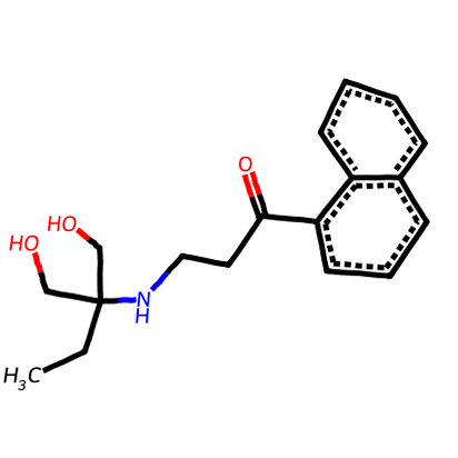 CCC(CO)(CO)NCCC(=O)c1cccc2ccccc12